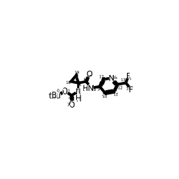 CC(C)(C)OC(=O)NC1(C(=O)Nc2ccc(C(F)F)nc2)CC1